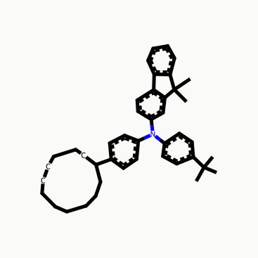 CC(C)(C)c1ccc(N(c2ccc(C3CCCCCCCCCCC3)cc2)c2ccc3c(c2)C(C)(C)c2ccccc2-3)cc1